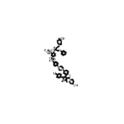 Cc1c(C(=O)N2CCC(O)CC2)c(-c2cccc(N3CCN(c4ccc(NS(=O)(=O)c5ccc(NC(CCN6CCC(C)(O)CC6)CSc6ccccc6)c(S(=O)(=O)C(F)(F)F)c5)cc4)CC3)c2)c(-c2ccc(Cl)cc2)n1C